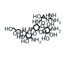 N=C(N)NC1CC1(O)C(=O)N[C@@H]1C[C@H](N)C(O[C@H]2O[C@H](CNCC(O)CO)[C@@H](O)[C@H](O)[C@H]2N)[C@H](O)[C@H]1O[C@H]1O[C@H](CO)[C@@H](O)[C@H](N)[C@H]1O